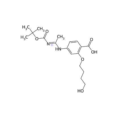 C/C(=N\C(=O)OC(C)(C)C)Nc1ccc(C(=O)O)c(OCCCCO)c1